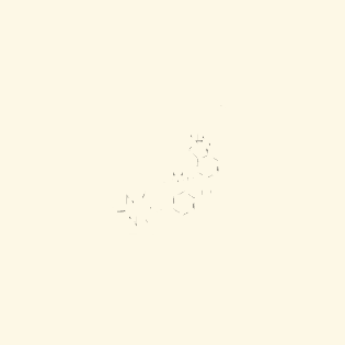 COCCC1(Oc2ccc(Oc3ccc4c(cnn4CCO)c3)cc2)C(=O)NC(=O)NC1=O